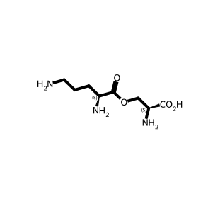 NCCC[C@H](N)C(=O)OC[C@H](N)C(=O)O